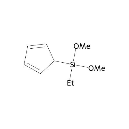 CC[Si](OC)(OC)C1C=CC=C1